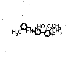 Cc1cccc(CNc2ccc(-c3ccc(F)c(C(C)(C)C(=O)O)c3)cn2)c1